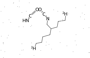 N=C=O.[2H]CCCCC(CCC[2H])CN=C=O